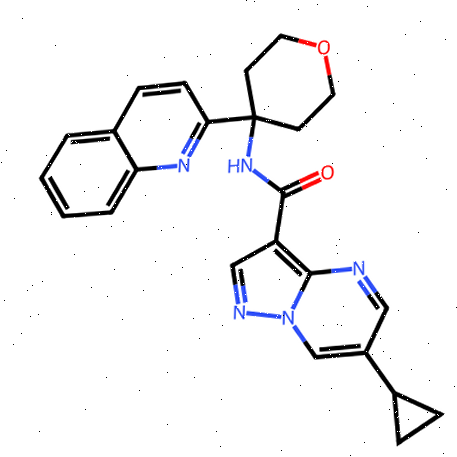 O=C(NC1(c2ccc3ccccc3n2)CCOCC1)c1cnn2cc(C3CC3)cnc12